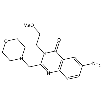 COCCn1c(CN2CCOCC2)nc2ccc(N)cc2c1=O